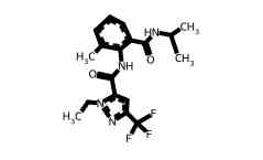 CCn1nc(C(F)(F)F)cc1C(=O)Nc1c(C)cccc1C(=O)NC(C)C